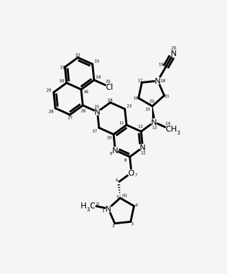 CN1CCC[C@H]1COc1nc2c(c(N(C)[C@H]3CCN(C#N)C3)n1)CCN(c1cccc3cccc(Cl)c13)C2